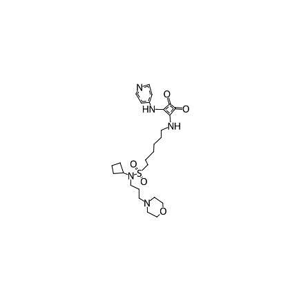 O=c1c(NCCCCCCS(=O)(=O)N(CCCN2CCOCC2)C2CCC2)c(Nc2ccncc2)c1=O